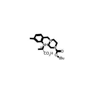 Cc1ccc(CN2CCN(C(=O)OC(C)(C)C)CC2)c(N[C@@H](C)C(=O)O)c1